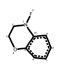 FN1CCOc2ccccc21